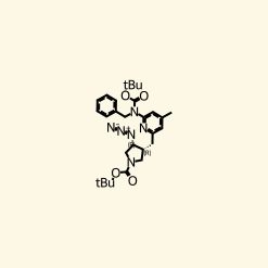 Cc1cc(C[C@@H]2CN(C(=O)OC(C)(C)C)C[C@@H]2N=[N+]=[N-])nc(N(Cc2ccccc2)C(=O)OC(C)(C)C)c1